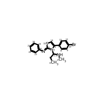 CCC(NC)n1c(-c2ccc(Br)cc2)csc1=Nc1ccccc1